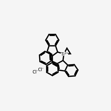 C1=C(c2ccccc2)[CH]([Ti+2]2([CH]3C(c4ccccc4)=Cc4ccccc43)[CH2][CH2]2)c2ccccc21.[Cl-].[Cl-]